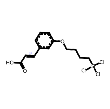 O=C(O)/C=C/c1cccc(OCCCC[Si](Cl)(Cl)Cl)c1